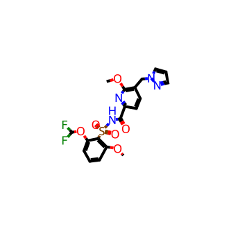 COc1cccc(OC(F)F)c1S(=O)(=O)NC(=O)c1ccc(Cn2cccn2)c(OC)n1